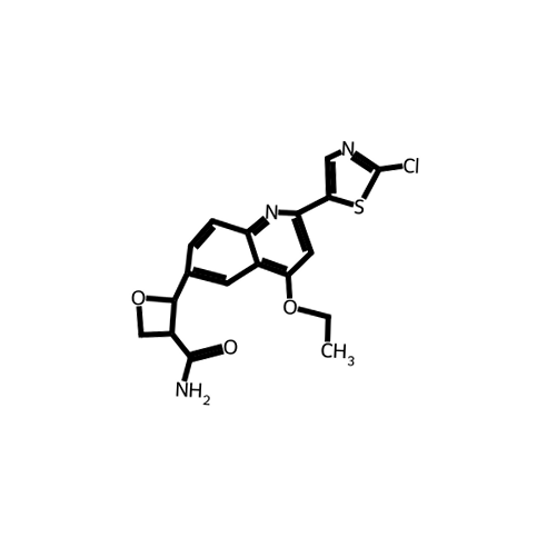 CCOc1cc(-c2cnc(Cl)s2)nc2ccc(C3OCC3C(N)=O)cc12